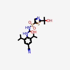 CC(C)c1cc(C#N)cc(C(C)C)c1NC(O)NS(=O)(=O)c1cnc(C(C)(C)O)s1